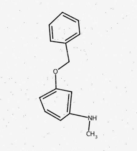 CNc1cccc(OCc2ccccc2)c1